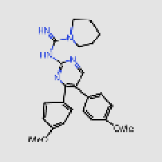 COc1ccc(-c2cnc(NC(=N)N3CCCCC3)nc2-c2ccc(OC)cc2)cc1